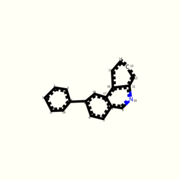 [c]1cccc(-c2ccc3cnc4ccccc4c3c2)c1